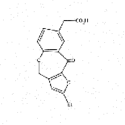 CCc1cc2c(o1)C(=O)c1cc(CC(=O)O)ccc1OC2